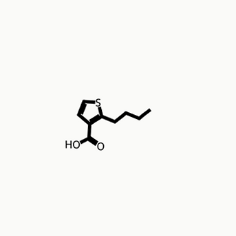 CCCCc1sccc1C(=O)O